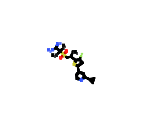 CC(CS(=O)(=O)C(C)(C)C(=N)N)c1sc(-c2ccnc(C3CC3)c2)cc1F